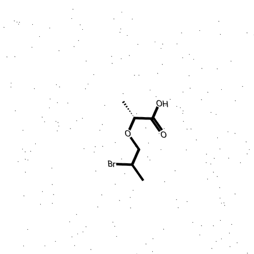 CC(Br)CO[C@H](C)C(=O)O